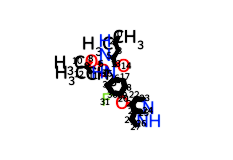 CC(C)CC(NC(=O)OC(C)(C)C)C(=O)Nc1ccc(Oc2ccnc3[nH]ccc23)c(F)c1